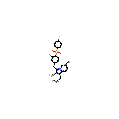 Cc1c(CC(=O)O)c2ccc(C#N)cn2c1Cc1ccc(S(=O)(=O)c2ccc(F)cc2)c(F)c1